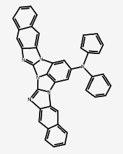 c1ccc(N(c2ccccc2)c2cc3c4c(c2)n2c5cc6ccccc6cc5nc2n4c2nc4cc5ccccc5cc4n32)cc1